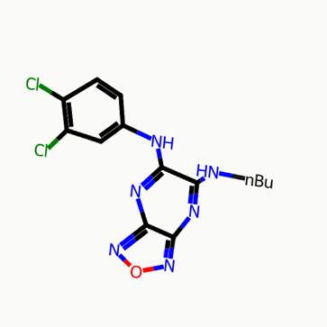 CCCCNc1nc2nonc2nc1Nc1ccc(Cl)c(Cl)c1